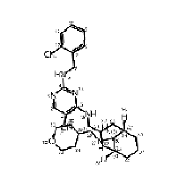 N#Cc1cnc(NCc2ccccc2Cl)nc1NCC1C[C@H]2CCC[C@@H](C1)[C@@H]2NCC1CCOCC1